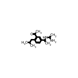 C=C(N)NC(=C)c1ccc(CC(C)C)c(C(C)=O)c1